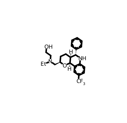 CCN(CCO)C[C@H]1CC[C@@H]2[C@H](O1)c1cc(C(F)(F)F)ccc1N[C@H]2c1ccccc1